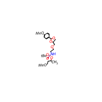 COCCC(C)OP(=O)(NCCOCC1COC(c2ccc(OC)cc2)O1)OC(C)(C)C